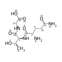 C[C@@H](O)[C@H](NC(=O)[C@@H](N)CCC(N)=O)C(=O)NCC(=O)O